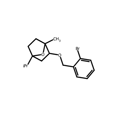 CC(C)C12CCC(C)(O1)C(OCc1ccccc1Br)C2